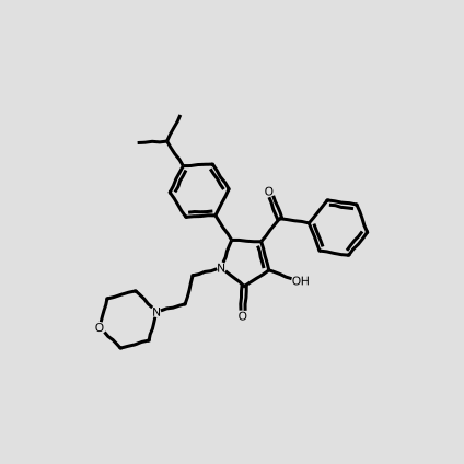 CC(C)c1ccc(C2C(C(=O)c3ccccc3)=C(O)C(=O)N2CCN2CCOCC2)cc1